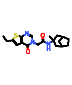 CCc1cc2c(=O)n(CC(=O)NC3(C)CC4CCC(C4)C3)cnc2s1